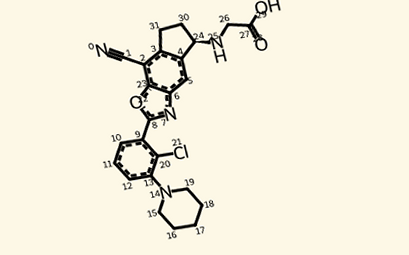 N#Cc1c2c(cc3nc(-c4cccc(N5CCCCC5)c4Cl)oc13)[C@H](NCC(=O)O)CC2